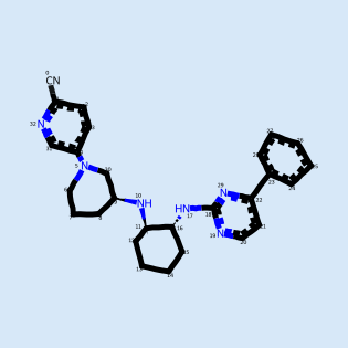 N#Cc1ccc(N2CCC[C@H](N[C@@H]3CCCC[C@H]3Nc3nccc(-c4ccccc4)n3)C2)cn1